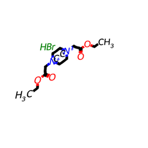 Br.CCOC(=O)C[N+]12CC[N+](CC(=O)OCC)(CC1)CC2